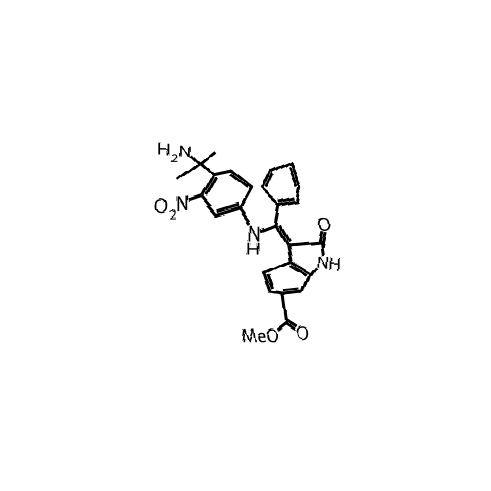 COC(=O)c1ccc2c(c1)NC(=O)C2=C(Nc1ccc(C(C)(C)N)c([N+](=O)[O-])c1)c1ccccc1